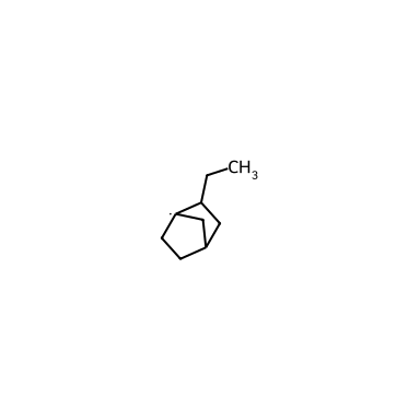 CCC1CC2CC[C]1C2